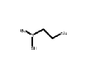 CC(C)(C)CCN(S)C(C)(C)C